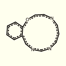 c1cnccoc2ccccc2cncnc1